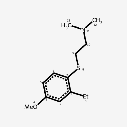 CCc1cc(OC)ccc1SCCN(C)C